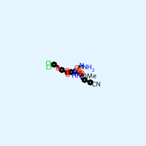 COC(=O)[C@H](Cc1ccc(-c2ccc(C#N)cc2)cc1)NC(=O)[C@@H]1Cc2cc3c(cc2CN1S(=O)(=O)c1cnc(N)s1)OC(c1ccc(OCc2ccc(Cl)c(Cl)c2)cc1)CO3